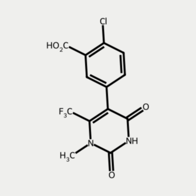 Cn1c(C(F)(F)F)c(-c2ccc(Cl)c(C(=O)O)c2)c(=O)[nH]c1=O